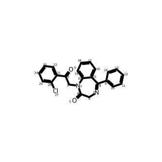 O=C(CN1C(=O)CN=C(c2ccccc2)c2ccccc21)c1ccccc1Cl